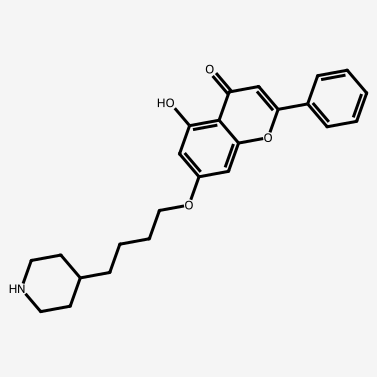 O=c1cc(-c2ccccc2)oc2cc(OCCCCC3CCNCC3)cc(O)c12